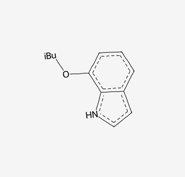 CCC(C)Oc1cccc2cc[nH]c12